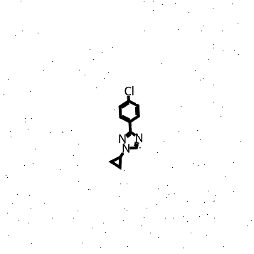 Clc1ccc(-c2n[c]n(C3CC3)n2)cc1